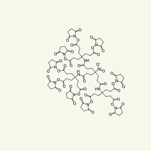 O=C(CCC(CCC(=O)NC(CCC(=O)ON1C(=O)CCC1=O)(CCC(=O)ON1C(=O)CCC1=O)CCC(=O)ON1C(=O)CCC1=O)(CCC(=O)NC(CCC(=O)ON1C(=O)CCC1=O)(CCC(=O)ON1C(=O)CCC1=O)CCC(=O)ON1C(=O)CCC1=O)[N+](=O)[O-])NC(CCC(=O)ON1C(=O)CCC1=O)(CCC(=O)ON1C(=O)CCC1=O)CCC(=O)ON1C(=O)CCC1=O